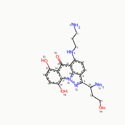 NCCCNc1ccc2c(C(N)CCO)nn3c4c(O)ccc(O)c4c(=O)c1c23